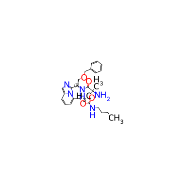 CCCCNC(=O)OCc1cccc2cnc([C@@H](COCc3ccccc3)NC(=O)C(C)(C)N)n12